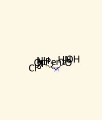 CCCCCC(CCCCCCCC/C=C\CCCCCCCC(=O)NO)N(C(N)=O)c1cccc(Cl)c1